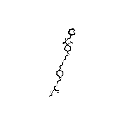 C=C(OCc1ccccc1)C1(OC)CCC(OCCOCCN2CCN(CCOCC(=O)OCC)CC2)CC1